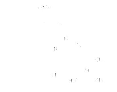 COC(=O)c1ccccc1-n1nnc([Si](C)(C)C)c1Cl